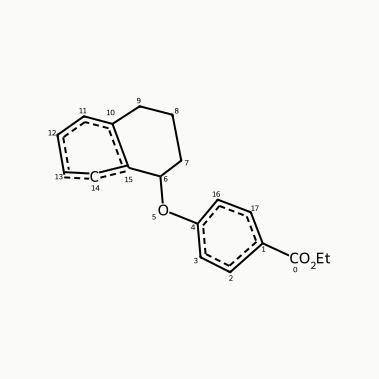 CCOC(=O)c1ccc(OC2CCCc3ccccc32)cc1